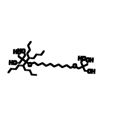 CCCCC(CCCC)C(OCCCCCCCCCCOCC(CO)(CO)CO)(C(CCCC)CCCC)C(CO)(CO)CO